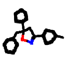 Cc1ccc(C2=NOC(Cc3ccccc3)(c3ccccc3)C2)cc1